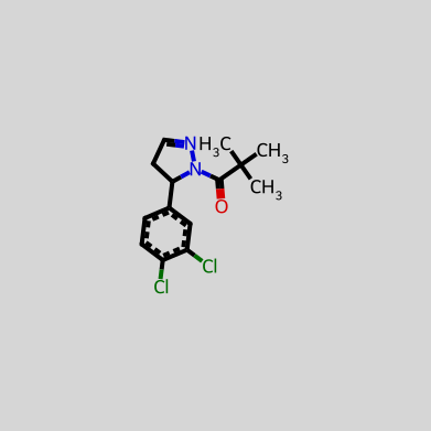 CC(C)(C)C(=O)N1N=CCC1c1ccc(Cl)c(Cl)c1